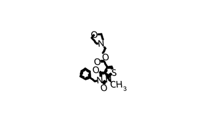 Cn1c(=O)n(Cc2ccccc2)c(=O)c2c(C(=O)OCCN3CCOCC3)csc21